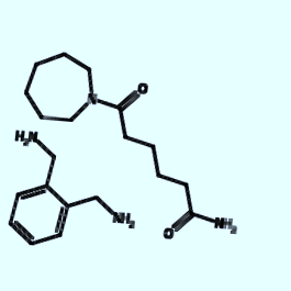 NC(=O)CCCCC(=O)N1CCCCCC1.NCc1ccccc1CN